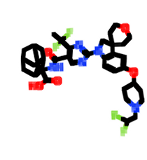 CC(F)(F)c1nc(N2CC3(CCOCC3)c3cc(OC4CCN(CC(F)F)CC4)ccc32)ncc1C(=O)NC1(C(=O)O)C2CC3CC(C2)CC1C3